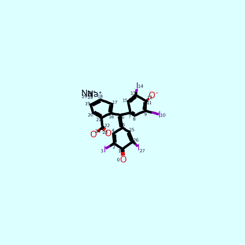 O=C1C(I)=CC(=C(c2cc(I)c([O-])c(I)c2)c2ccccc2C(=O)[O-])C=C1I.[Na+].[Na+]